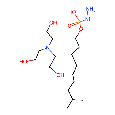 CC(C)CCCCCCCOP(=O)(O)NN.OCCN(CCO)CCO